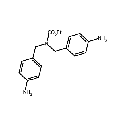 CCOC(=O)N(Cc1ccc(N)cc1)Cc1ccc(N)cc1